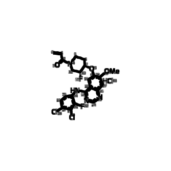 C=CC(=O)N1CC[C@@H](Oc2cc3c(Nc4ccc(Cl)c(Cl)c4F)ncnc3cc2OC)[C@H](F)C1.Cl